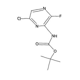 CC(C)(C)OC(=O)Nc1nc(Cl)cnc1F